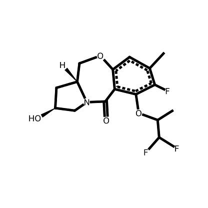 Cc1cc2c(c(OC(C)C(F)F)c1F)C(=O)N1C[C@@H](O)C[C@@H]1CO2